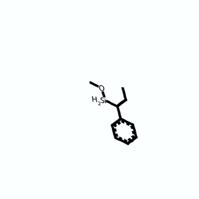 CCC([SiH2]OC)c1ccccc1